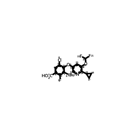 CC(C)(C)c1c(F)c(C(=O)O)cc(Cl)c1Oc1cnc(C2CC2)c(OC(F)F)c1